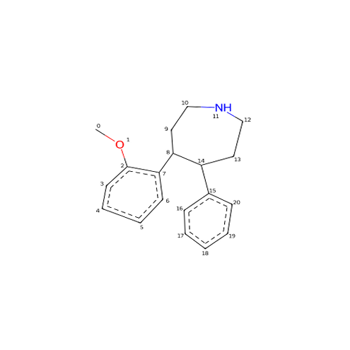 COc1ccccc1C1CCNCCC1c1ccccc1